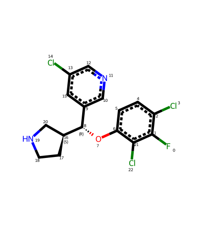 Fc1c(Cl)ccc(O[C@@H](c2cncc(Cl)c2)[C@H]2CCNC2)c1Cl